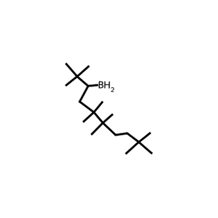 BC(CC(C)(C)C(C)(C)CCC(C)(C)C)C(C)(C)C